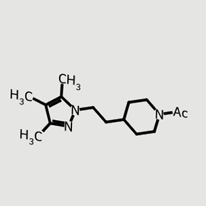 CC(=O)N1CCC(CCn2nc(C)c(C)c2C)CC1